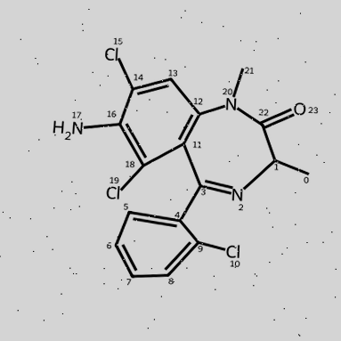 CC1N=C(c2ccccc2Cl)c2c(cc(Cl)c(N)c2Cl)N(C)C1=O